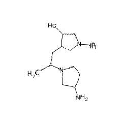 CC(C)N1CC(O)C(CC(C)N2CCC(N)C2)C1